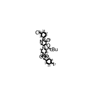 CC(C)(C)COc1c(N2CCN(S(=O)(=O)Cc3ccc(I)cc3)CC2)cnn(-c2cccc(Cl)c2)c1=O